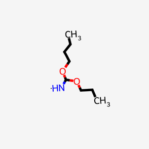 CCCCOC([NH])OCCC